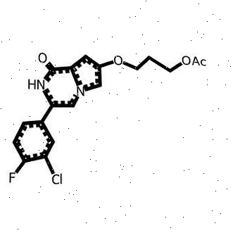 CC(=O)OCCCOc1cc2c(=O)[nH]c(-c3ccc(F)c(Cl)c3)cn2c1